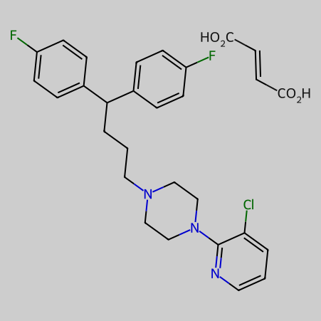 Fc1ccc(C(CCCN2CCN(c3ncccc3Cl)CC2)c2ccc(F)cc2)cc1.O=C(O)C=CC(=O)O